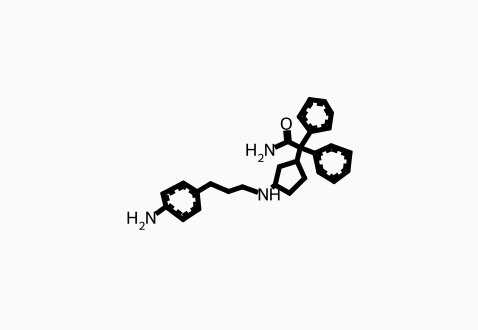 NC(=O)C(c1ccccc1)(c1ccccc1)C1CCC(NCCCc2ccc(N)cc2)C1